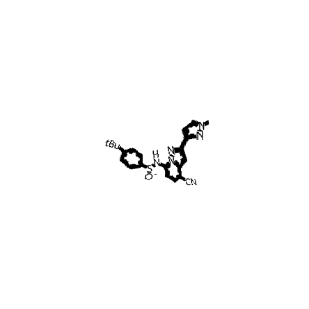 Cn1ccc(-c2cc3c(C#N)ccc(N[S+]([O-])c4ccc(C(C)(C)C)cc4)n3n2)n1